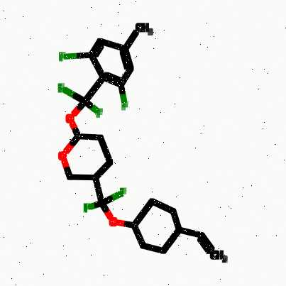 C=CC1CCC(OC(F)(F)C2CCC(OC(F)(F)c3c(F)cc(C)cc3F)OC2)CC1